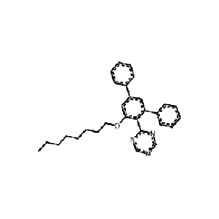 CCCCCCCCOc1cc(-c2ccccc2)cc(-c2ccccc2)c1-c1ncncn1